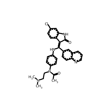 CC(=O)N(CCN(C)C)c1ccc(NC(=C2C(=O)Nc3cc(Cl)ccc32)c2ccc3ncccc3c2)cc1